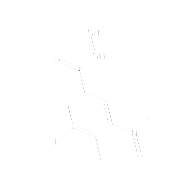 Cc1c(F)cc(C(=O)NN)cc1[N+](=O)[O-]